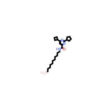 BCCCCCCCCCCCNC(=O)c1cc(C2CCC2)nc(C2CCCC2)n1